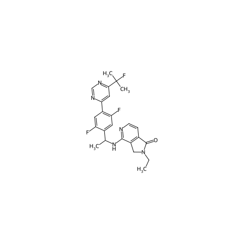 CCN1Cc2c(ccnc2NC(C)c2cc(F)c(-c3cc(C(C)(C)F)ncn3)cc2F)C1=O